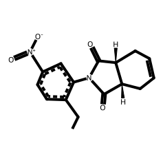 CCc1ccc([N+](=O)[O-])cc1N1C(=O)[C@H]2CC=CC[C@H]2C1=O